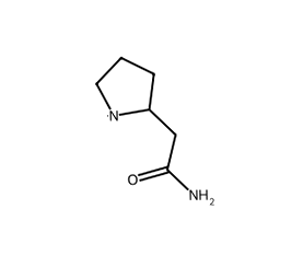 NC(=O)CC1CCC[N]1